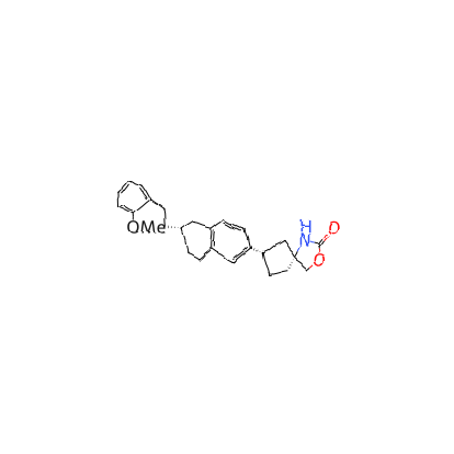 COc1ccccc1CC[C@H]1CCc2cc([C@H]3CC[C@]4(COC(=O)N4)C3)ccc2C1